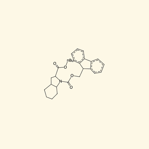 CCCCOC(=O)C1CC2CCCCC2N1C(=O)OCC1c2ccccc2-c2ccccc21